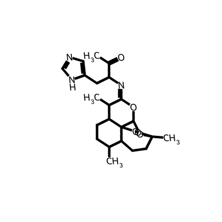 CC(=O)C(Cc1cnc[nH]1)/N=C1/OC2OC3(C)CCC4C(C)CCC(C1C)C24OO3